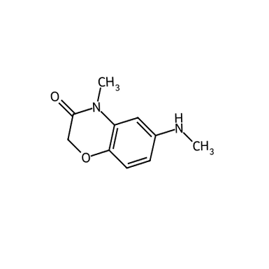 CNc1ccc2c(c1)N(C)C(=O)CO2